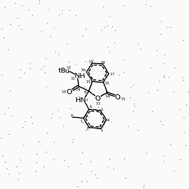 Cc1ccccc1NC1(C(=O)NC(C)(C)C)OC(=O)c2ccccc21